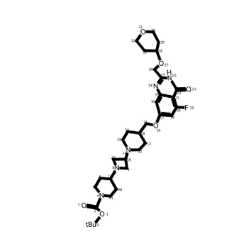 CC(C)(C)OC(=O)N1CCC(N2CC(N3CCC(COc4cc(F)c5c(=O)[nH]c(COC6CCOCC6)nc5c4)CC3)C2)CC1